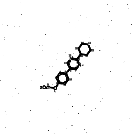 CCCCCCCCOc1ccc(-c2cnc(C3CCCCC3)nc2)cc1